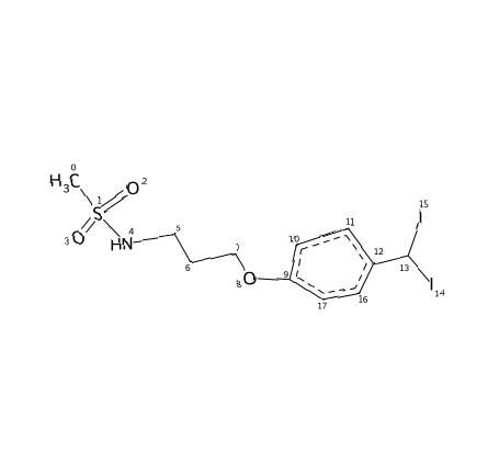 CS(=O)(=O)NCCCOc1ccc(C(I)I)cc1